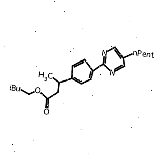 CCCCCc1cnc(-c2ccc(C(C)CC(=O)OCC(C)CC)cc2)nc1